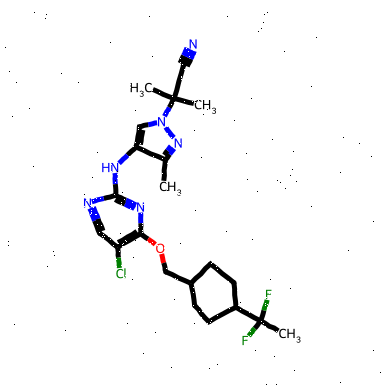 Cc1nn(C(C)(C)C#N)cc1Nc1ncc(Cl)c(OCC2CCC(C(C)(F)F)CC2)n1